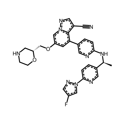 C[C@H](Nc1ccc(-c2cc(OC[C@H]3CNCCO3)cn3ncc(C#N)c23)cn1)c1ccc(-n2cc(F)cn2)nc1